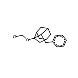 ClCOC12CC3CC(CC1C3)C2Cc1ccccc1